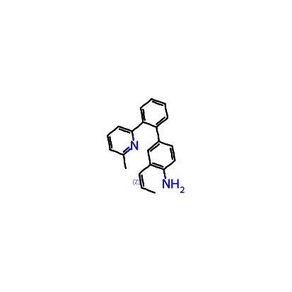 C/C=C\c1cc(-c2ccccc2-c2cccc(C)n2)ccc1N